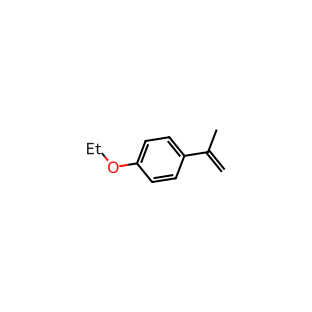 C=C(C)c1ccc(OCC)cc1